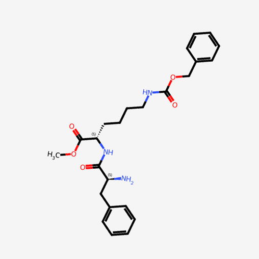 COC(=O)[C@H](CCCCNC(=O)OCc1ccccc1)NC(=O)[C@@H](N)Cc1ccccc1